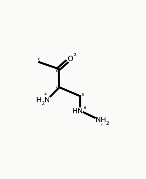 CC(=O)C(N)CNN